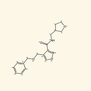 O=C(NCC1CCOC1)c1nocc1COCc1ccccc1